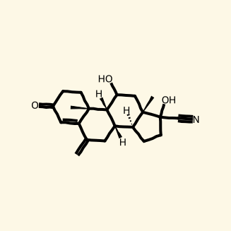 C=C1C[C@@H]2[C@@H](C(O)C[C@@]3(C)[C@H]2CCC3(O)C#N)[C@@]2(C)CCC(=O)C=C12